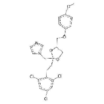 COc1ccc(OCC2COC(CCc3c(Cl)cc(Cl)cc3Cl)(Cn3ccnc3)O2)cc1